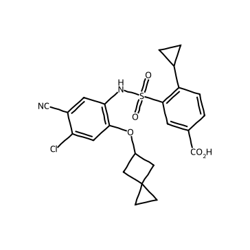 N#Cc1cc(NS(=O)(=O)c2cc(C(=O)O)ccc2C2CC2)c(OC2CC3(CC3)C2)cc1Cl